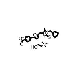 CC1/C(=C/c2ccc(-c3ccc(C(=O)[O-])cc3)o2)SC(=S)N1Cc1ccccc1.C[N+](C)(C)CCO